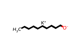 CCCCCCCCCC[O-].[K+]